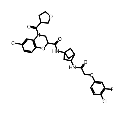 O=C(COc1ccc(Cl)c(F)c1)NC1CC2(NC(=O)C3CN(C(=O)C4CCOC4)c4cc(Cl)ccc4O3)CC1C2